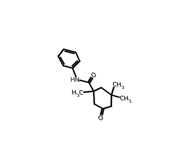 CC1(C)CC(=O)CC(C)(C(=O)Nc2ccccc2)C1